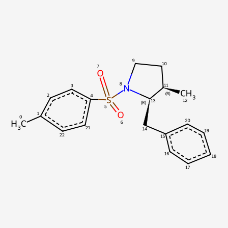 Cc1ccc(S(=O)(=O)N2CC[C@@H](C)[C@H]2Cc2ccccc2)cc1